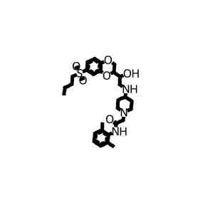 CCCCS(=O)(=O)c1ccc2c(c1)OC(C(O)CNC1CCN(CC(=O)Nc3c(C)cccc3C)CC1)CO2